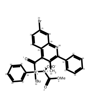 COC(=O)N(C(=O)[O-])[N+](C(=O)c1c(C)c(-c2ccccc2)nc2cc(Br)ccc12)(c1ccccc1)C(C)(C)C